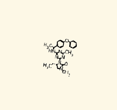 CC[C@H]1CN(C)C(=O)N1c1nc(C)nc(N[C@@H](C)c2ccc(Oc3ccccc3)cc2)n1